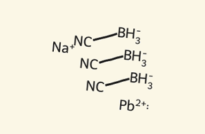 [BH3-]C#N.[BH3-]C#N.[BH3-]C#N.[Na+].[Pb+2]